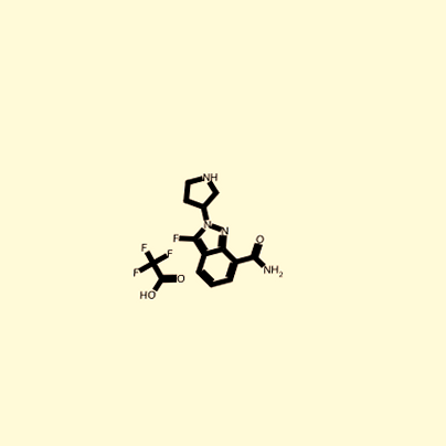 NC(=O)c1cccc2c(F)n(C3CCNC3)nc12.O=C(O)C(F)(F)F